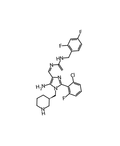 C=C(/N=C\c1nc(-c2c(F)cccc2Cl)n(C[C@@H]2CCCNC2)c1N)NCc1ccc(F)cc1F